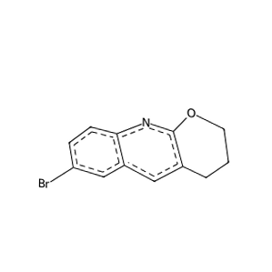 Brc1ccc2nc3c(cc2c1)CCCO3